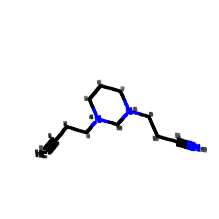 C#CCCN1CCCN(CCC#N)C1